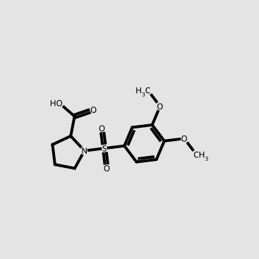 COc1ccc(S(=O)(=O)N2CCCC2C(=O)O)cc1OC